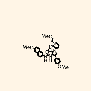 COCCn1cccc(N2C[C@@H](c3ccc(OC)cc3)C(NC(=O)Nc3ccc4cc(OC)ccc4c3)C2=O)c1=O